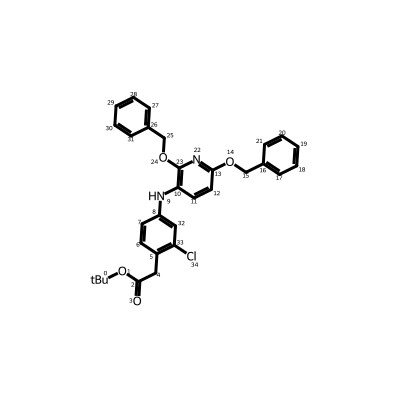 CC(C)(C)OC(=O)Cc1ccc(Nc2ccc(OCc3ccccc3)nc2OCc2ccccc2)cc1Cl